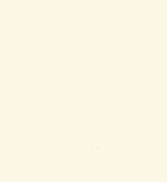 CCOC(O[C@H]1C=C[C@@H](O[Si](C)(C)C(C)(C)C)C1)C(C)I